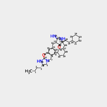 CCCC[C@H]1CN(Cc2ccc(CC3C(=N)N[C@](CCC4CCCCC4)(CC4CCCCC4)C3=O)cc2)C(=O)N1